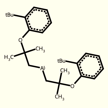 CC(C)([CH2][Al][CH2]C(C)(C)Oc1ccccc1C(C)(C)C)Oc1ccccc1C(C)(C)C